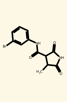 CC1C(=O)NC(=O)C1C(=O)Nc1cccc(Br)c1